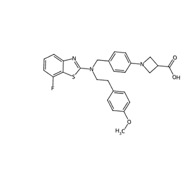 COc1ccc(CCN(Cc2ccc(N3CC(C(=O)O)C3)cc2)c2nc3cccc(F)c3s2)cc1